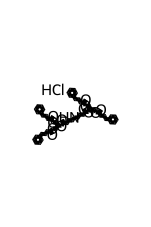 Cl.O=C(CCCC1CCCCC1)OCC(COC(=O)CCCC1CCCCC1)OC(=O)CCCNCCCC(=O)OC(COC(=O)CCCC1CCCCC1)COC(=O)CCCC1CCCCC1